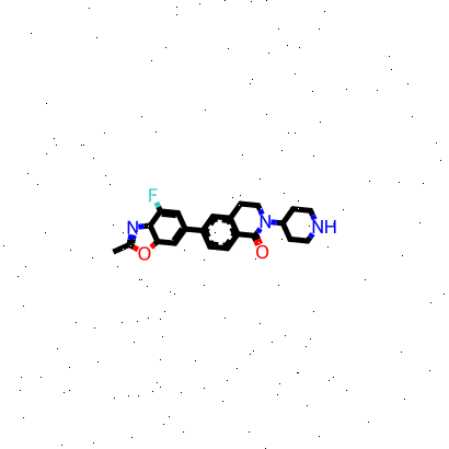 CC1=NC2C(F)=CC(c3ccc4c(c3)CCN(C3CCNCC3)C4=O)=CC2O1